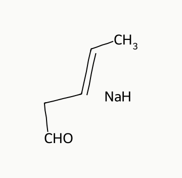 CC=CCC=O.[NaH]